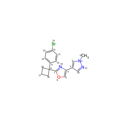 Cn1cc(-c2coc(C3(c4ccc(Br)cc4)CCC3)n2)cn1